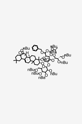 CCCCOCC1O[C@@H](O[C@H]2C(O[C@H](OC[C@H](C)OCCCC)[C@H](COCCCC)OCCCC)[C@H](OCCCC)C(C(=O)OCc3ccccc3)O[C@H]2O[C@H]2CCC3(C)C(CC[C@]4(C)C3CC=C3C5CC(C)(C)CC[C@]5(C(=O)O)[C@H](OCCCC)C[C@]34C)[C@@]2(C)C=O)[C@@H](OCCCC)C(OCCCC)[C@H]1OCCCC